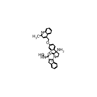 Cc1cc(COc2ccc([C@@]3(N)CCN([C@@H]4c5ccccc5C[C@@H]4C(=O)NO)C3=O)cc2)c2ccccc2n1